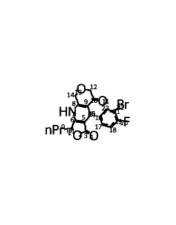 CCC[C@@H]1OC(=O)C2=C1NC1=C(C(=O)COC1)[C@@H]2c1ccc(F)c(Br)c1